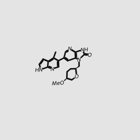 CO[C@H]1CC[C@@H](Cn2c(=O)[nH]c3ncc(-c4cnc5[nH]ccc5c4C)cc32)OC1